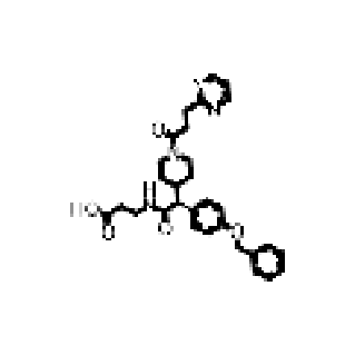 O=C(O)CCNC(=O)[C@H](c1ccc(OCc2ccccc2)cc1)C1CCN(C(=O)CCc2ncccn2)CC1